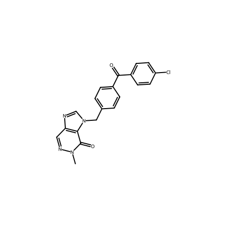 Cn1ncc2ncn(Cc3ccc(C(=O)c4ccc(Cl)cc4)cc3)c2c1=O